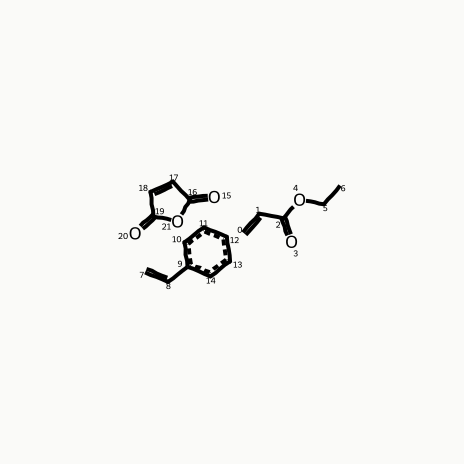 C=CC(=O)OCC.C=Cc1ccccc1.O=C1C=CC(=O)O1